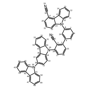 N#Cc1c(-c2cccc(-n3c4ccccc4c4c(C#N)cccc43)c2)cccc1-n1c2ccccc2c2cc(-n3c4ccccc4c4ccccc43)ccc21